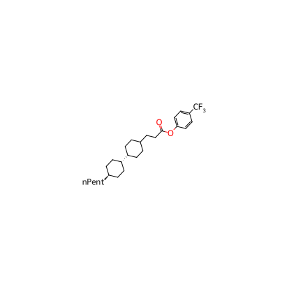 CCCCC[C@H]1CC[C@H](C2CCC(CCC(=O)Oc3ccc(C(F)(F)F)cc3)CC2)CC1